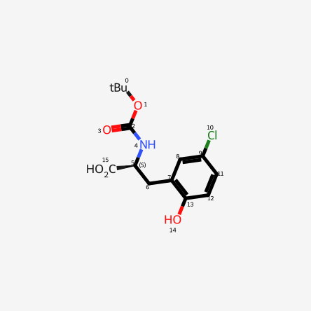 CC(C)(C)OC(=O)N[C@@H](Cc1cc(Cl)ccc1O)C(=O)O